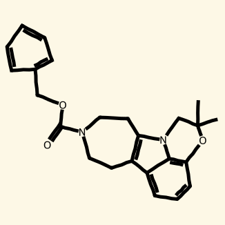 CC1(C)Cn2c3c(c4cccc(c42)O1)CCN(C(=O)OCc1ccccc1)CC3